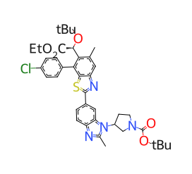 CCOC(=O)[C@@H](OC(C)(C)C)c1c(C)cc2nc(-c3ccc4nc(C)n(C5CCN(C(=O)OC(C)(C)C)C5)c4c3)sc2c1-c1ccc(Cl)cc1